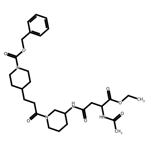 CCOC(=O)C(CC(=O)NC1CCCN(C(=O)CCC2CCN(C(=O)OCc3ccccc3)CC2)C1)NC(C)=O